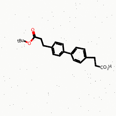 CC(C)(C)OC(=O)CCc1ccc(-c2ccc(CCC(=O)O)cc2)cc1